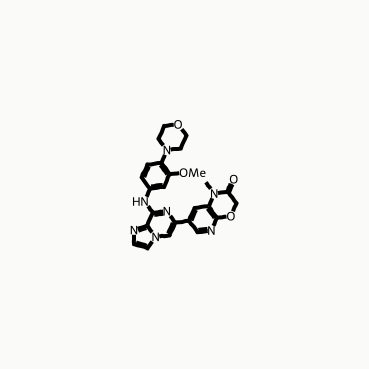 COc1cc(Nc2nc(-c3cnc4c(c3)N(C)C(=O)CO4)cn3ccnc23)ccc1N1CCOCC1